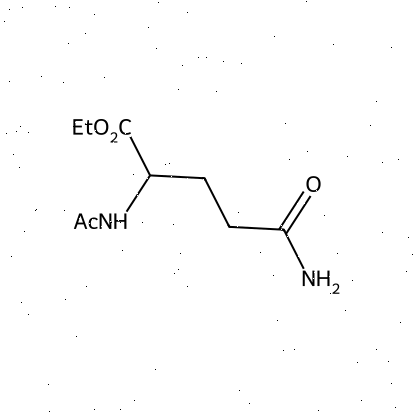 CCOC(=O)C(CCC(N)=O)NC(C)=O